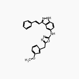 COc1cccc(Cc2nnc(Nc3ccc4[nH]nc(C=Cc5ccccc5)c4c3)o2)c1